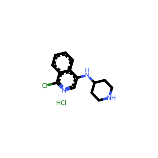 Cl.Clc1ncc(NC2CCNCC2)c2ccccc12